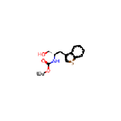 CC(C)(C)OC(=O)N[C@H](CO)Cc1csc2ccccc12